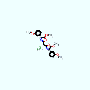 COc1cccc([C@H]2N=C(CC3=N[C@H](c4cccc(OC)c4)C(OC)O3)OC2OC)c1.[Cl-].[Cl-].[Pd+2]